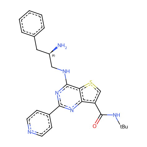 CC(C)(C)NC(=O)c1csc2c(NC[C@H](N)Cc3ccccc3)nc(-c3ccncc3)nc12